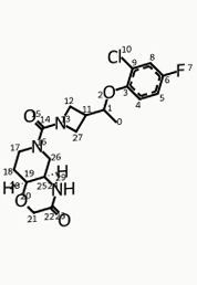 CC(Oc1ccc(F)cc1Cl)C1CN(C(=O)N2CC[C@@H]3OCC(=O)N[C@@H]3C2)C1